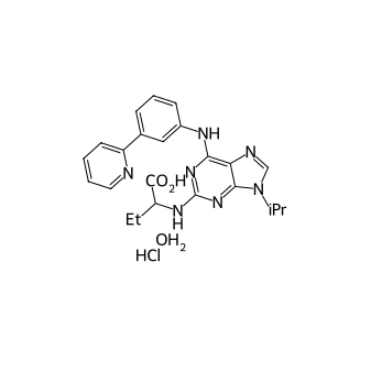 CCC(Nc1nc(Nc2cccc(-c3ccccn3)c2)c2ncn(C(C)C)c2n1)C(=O)O.Cl.O